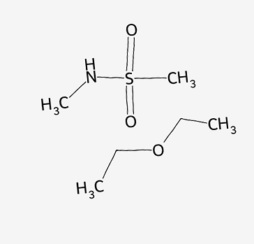 CCOCC.CNS(C)(=O)=O